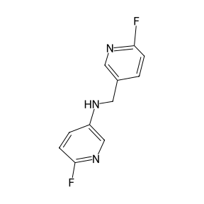 Fc1ccc(CNc2ccc(F)nc2)cn1